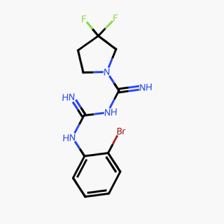 N=C(NC(=N)N1CCC(F)(F)C1)Nc1ccccc1Br